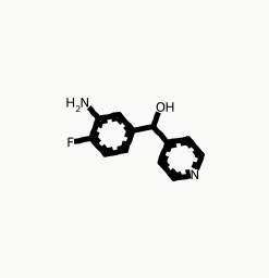 Nc1cc(C(O)c2ccncc2)ccc1F